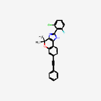 CC1(C)Oc2cc(C#Cc3ccccc3)ccc2-c2[nH]c(-c3c(F)cccc3Cl)nc21